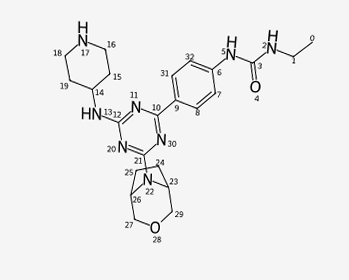 CCNC(=O)Nc1ccc(-c2nc(NC3CCNCC3)nc(N3C4CCC3COC4)n2)cc1